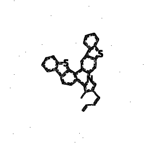 C=C/C=C\c1cn2c3cc4sc5ccccc5c4cc3c3c(ccc4c5ccccc5sc43)c2c1C